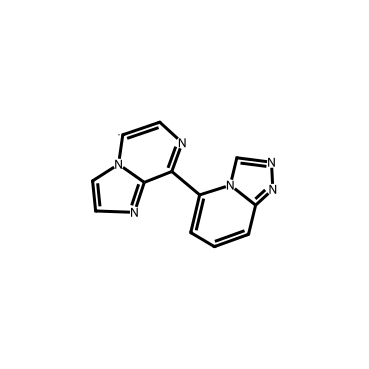 [c]1cnc(-c2cccc3nncn23)c2nccn12